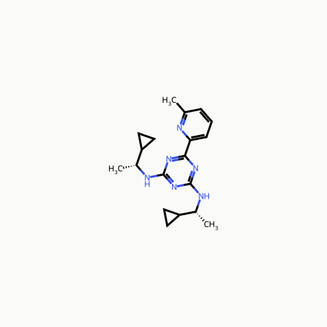 Cc1cccc(-c2nc(N[C@H](C)C3CC3)nc(N[C@H](C)C3CC3)n2)n1